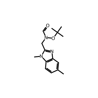 Cc1ccc2c(c1)nc(CN(C=O)OC(C)(C)C)n2C